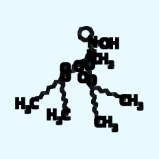 CCCCCCCCC(CCCCCCCC)COC(=O)CCOCC(CN(C)CCN(CCO)C1CCCCCCC1)OCCC(=O)OCC(CCCCCCCC)CCCCCCCC